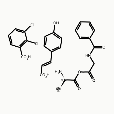 CC[C@H](C)[C@H](N)C(=O)OC(=O)CNC(=O)c1ccccc1.O=C(O)C=Cc1ccc(O)cc1.O=C(O)c1cccc(Cl)c1Cl